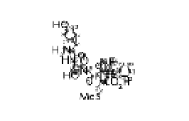 CSCC[C@@H](C(=O)O)N(C(=O)CNC(=O)[C@@H](CO)NC(=O)[C@@H](N)Cc1ccc(O)cc1)C(=O)[C@@](F)(N(F)F)C(F)(F)c1ccccc1